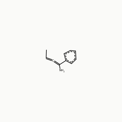 CC=C=C(N)c1ccccc1